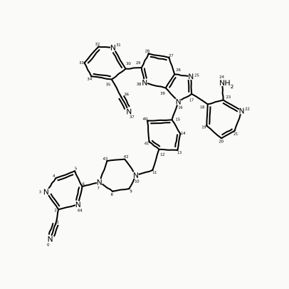 N#Cc1nccc(N2CCN(Cc3ccc(-n4c(-c5cccnc5N)nc5ccc(-c6ncccc6C#N)nc54)cc3)CC2)n1